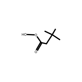 CC(C)(C)CC(=O)OO